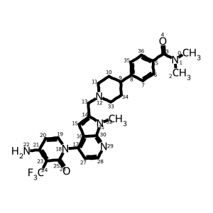 CN(C)C(=O)c1ccc(C2CCN(Cc3cc4c(-n5ccc(N)c(C(F)(F)F)c5=O)ccnc4n3C)CC2)cc1